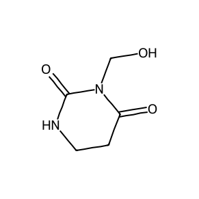 O=C1CCNC(=O)N1CO